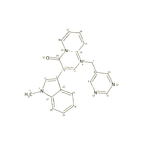 Cn1cc(-c2c[n+](Cc3cncnc3)c3ccccn3c2=O)c2ccccc21